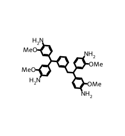 COc1cc(C(Cc2cccc(C(c3ccc(N)c(OC)c3)c3ccc(N)c(OC)c3)c2)c2ccc(N)c(OC)c2)ccc1N